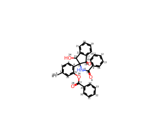 CC(C)c1ccc(C2(NC(=O)c3ccccc3)C(=O)c3ccccc3C2O)c(OC(=O)c2ccccc2)c1